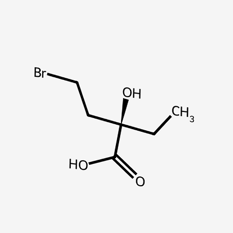 CC[C@@](O)(CCBr)C(=O)O